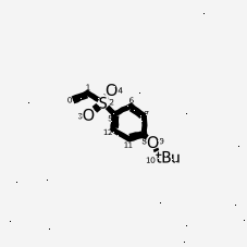 C=CS(=O)(=O)c1ccc(OC(C)(C)C)cc1